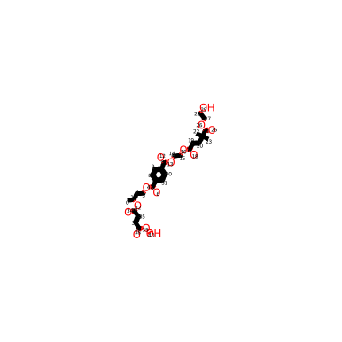 CC(CCOC(=O)c1ccc(C(=O)OCCOC(=O)/C=C/C(C)(C)C(=O)OCCO)cc1)OC(=O)/C=C/C(=O)OO